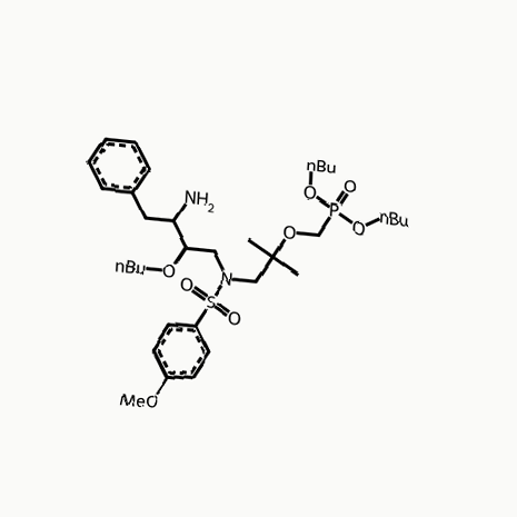 CCCCOC(CN(CC(C)(C)OCP(=O)(OCCCC)OCCCC)S(=O)(=O)c1ccc(OC)cc1)C(N)Cc1ccccc1